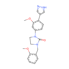 COc1ccccc1CN1CCN(c2ccc(-c3cn[nH]c3)c(OC)c2)C1=O